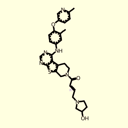 Cc1ccc(Oc2ccc(Nc3ncnc4sc5c(c34)CCN(C(=O)/C=C/CN3CCC(O)C3)C5)cc2C)cn1